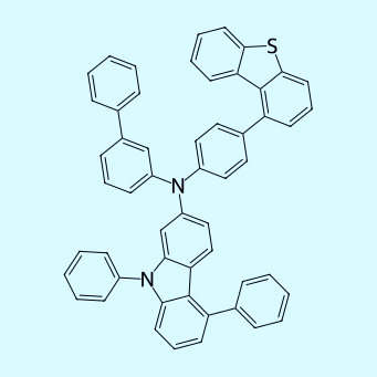 c1ccc(-c2cccc(N(c3ccc(-c4cccc5sc6ccccc6c45)cc3)c3ccc4c5c(-c6ccccc6)cccc5n(-c5ccccc5)c4c3)c2)cc1